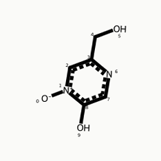 [O-][n+]1cc(CO)ncc1O